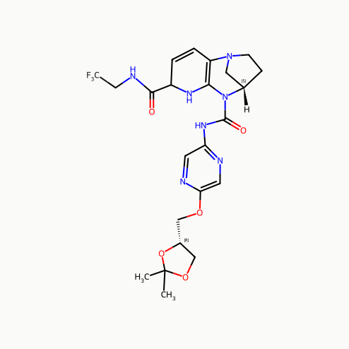 CC1(C)OC[C@@H](COc2cnc(NC(=O)N3C4=C(C=CC(C(=O)NCC(F)(F)F)N4)N4CC[C@H]3C4)cn2)O1